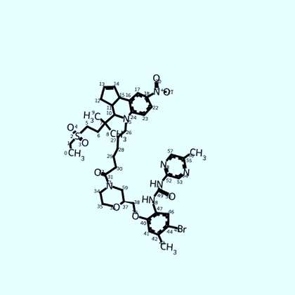 CCS(=O)(=O)CCC(C)(C)C1C2CC=CC2c2cc([N+](=O)[O-])ccc2N1CCCCCC(=O)N1CCO[C@H](COc2cc(C)c(Br)cc2NC(=O)Nc2cnc(C)cn2)C1